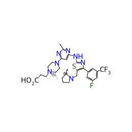 Cc1nc(Nc2nc(-c3cc(F)cc(C(F)(F)F)c3)c(CN3CCC[C@H]3C)s2)cc(N2CCN(CCC(=O)O)[C@@H](C)C2)n1